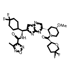 CO[C@@H]1CCN(C(=O)[C@@H]2CCC(F)(F)CO2)[C@H](c2cnn3cc([C@@H](NC(=O)c4nonc4C)C4CCC(F)(F)CC4)nc3n2)C1